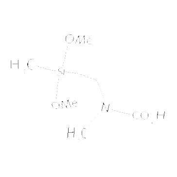 CO[Si](C)(CN(C)C(=O)O)OC